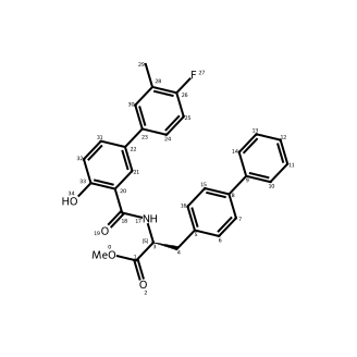 COC(=O)[C@H](Cc1ccc(-c2ccccc2)cc1)NC(=O)c1cc(-c2ccc(F)c(C)c2)ccc1O